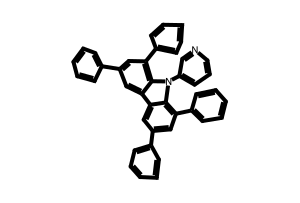 c1ccc(-c2cc(-c3ccccc3)c3c(c2)c2cc(-c4ccccc4)cc(-c4ccccc4)c2n3-c2cccnc2)cc1